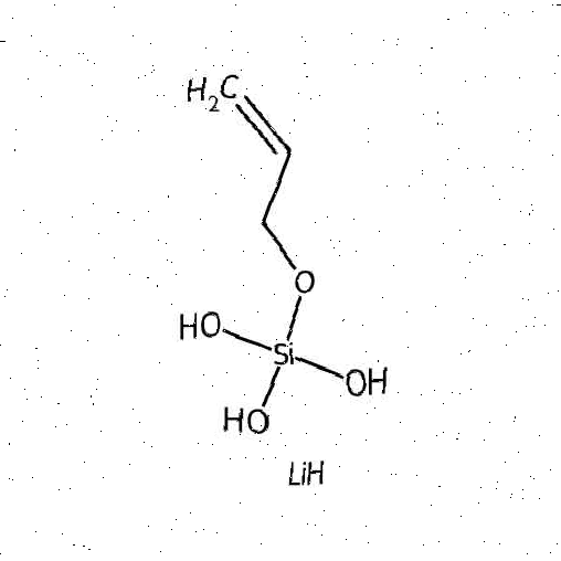 C=CCO[Si](O)(O)O.[LiH]